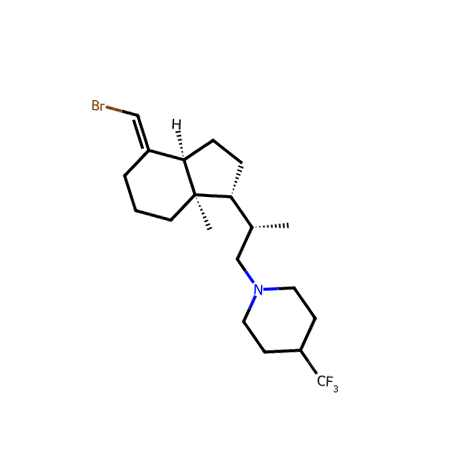 C[C@H](CN1CCC(C(F)(F)F)CC1)[C@H]1CC[C@@H]2/C(=C/Br)CCC[C@@]21C